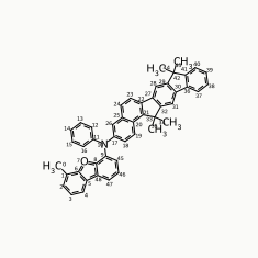 Cc1cccc2c1oc1c(N(c3ccccc3)c3ccc4c5c(ccc4c3)-c3cc4c(cc3C5(C)C)-c3ccccc3C4(C)C)cccc12